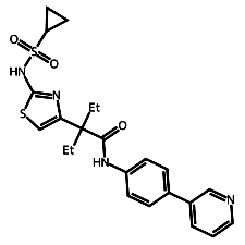 CCC(CC)(C(=O)Nc1ccc(-c2cccnc2)cc1)c1csc(NS(=O)(=O)C2CC2)n1